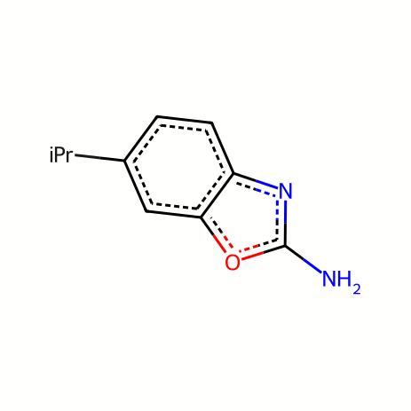 CC(C)c1ccc2nc(N)oc2c1